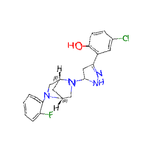 Oc1ccc(Cl)cc1C1=NNC(N2C[C@H]3C[C@@H]2CN3c2ccccc2F)C1